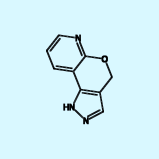 c1cnc2c(c1)-c1[nH]ncc1CO2